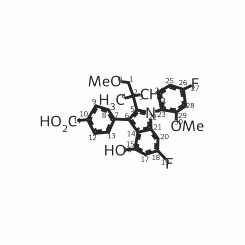 COCC(C)(C)c1c(-c2ccc(C(=O)O)cc2)c2c(O)cc(F)cc2n1-c1ccc(F)cc1OC